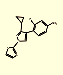 Nc1ccc(-c2cn(-c3nccs3)nc2C2CC2)c(F)c1